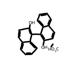 CC(=O)O.Oc1ccc2ccccc2c1-c1c(O)ccc2ccccc12